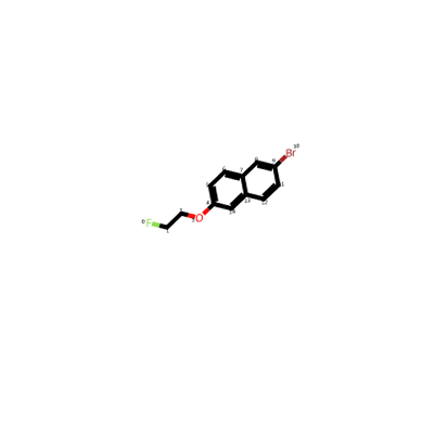 FCCOc1ccc2cc(Br)ccc2c1